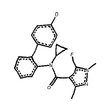 Cc1nn(C)c(F)c1C(=O)N(c1ccccc1-c1ccc(Cl)cc1)C1CC1